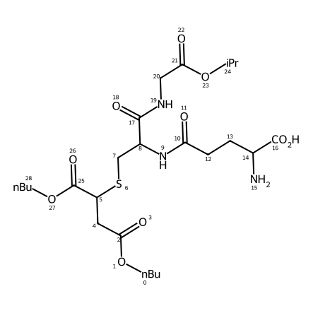 CCCCOC(=O)CC(SCC(NC(=O)CCC(N)C(=O)O)C(=O)NCC(=O)OC(C)C)C(=O)OCCCC